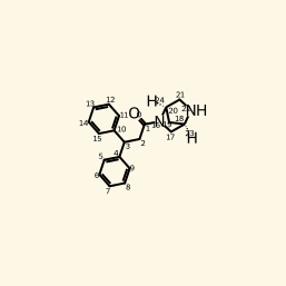 O=C(CC(c1ccccc1)c1ccccc1)N1C[C@H]2C[C@@H]1CN2